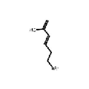 C=C(O)C=CCCCCC